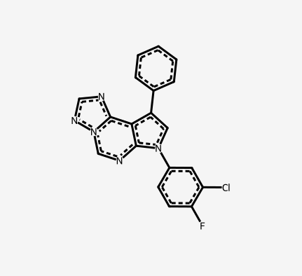 Fc1ccc(-n2cc(-c3ccccc3)c3c2ncn2ncnc32)cc1Cl